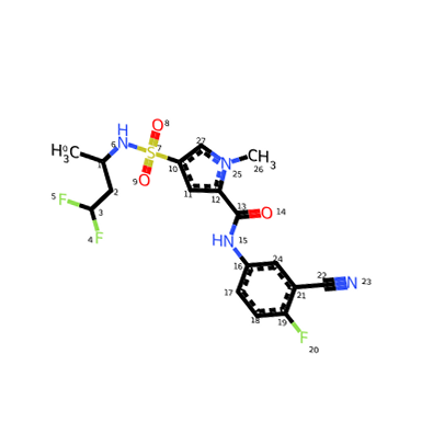 CC(CC(F)F)NS(=O)(=O)c1cc(C(=O)Nc2ccc(F)c(C#N)c2)n(C)c1